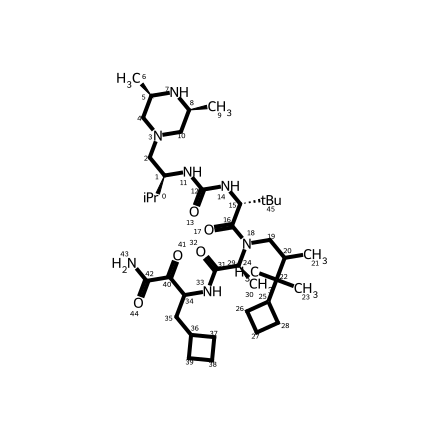 CC(C)[C@@H](CN1C[C@@H](C)N[C@@H](C)C1)NC(=O)N[C@@H](C(=O)N(CC(C)C(C)(C)C1CCC1)[C@@H](C)C(=O)NC(CC1CCC1)C(=O)C(N)=O)C(C)(C)C